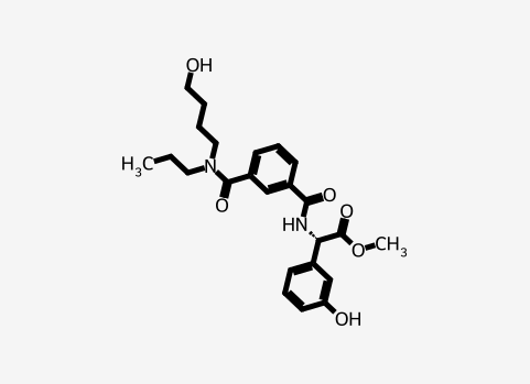 CCCN(CCCCO)C(=O)c1cccc(C(=O)N[C@H](C(=O)OC)c2cccc(O)c2)c1